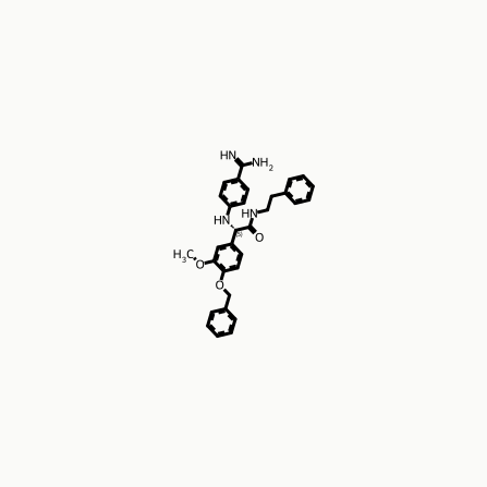 COc1cc([C@H](Nc2ccc(C(=N)N)cc2)C(=O)NCCc2ccccc2)ccc1OCc1ccccc1